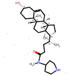 C[C@H](CCC(=O)N(C)C1CCNCC1)[C@H]1CC[C@H]2[C@@H]3CC=C4C[C@@H](O)CC[C@]4(C)[C@H]3CC[C@]12C